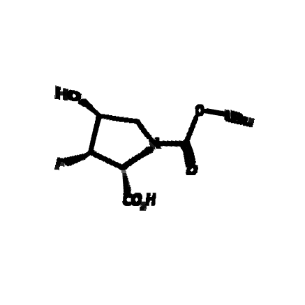 CC(C)(C)OC(=O)N1C[C@H](O)[C@H](F)[C@H]1C(=O)O